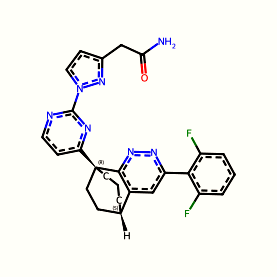 NC(=O)Cc1ccn(-c2nccc([C@@]34CCC[C@@H](CC3)c3cc(-c5c(F)cccc5F)nnc34)n2)n1